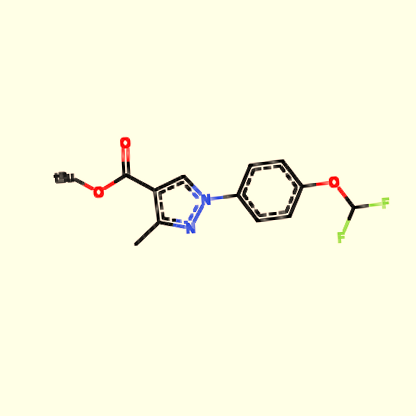 Cc1nn(-c2ccc(OC(F)F)cc2)cc1C(=O)OC(C)(C)C